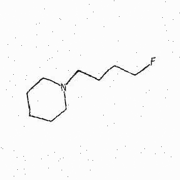 FCCCCN1CCCCC1